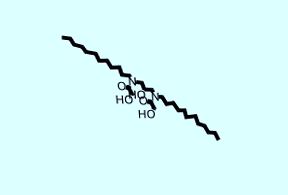 CCCCCCCCCCCCN(CC(O)CN(CCCCCCCCCCCC)C(=O)CO)C(=O)CO